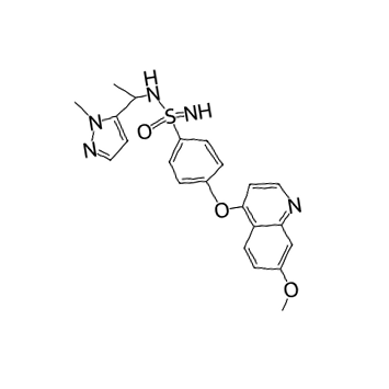 COc1ccc2c(Oc3ccc(S(=N)(=O)NC(C)c4ccnn4C)cc3)ccnc2c1